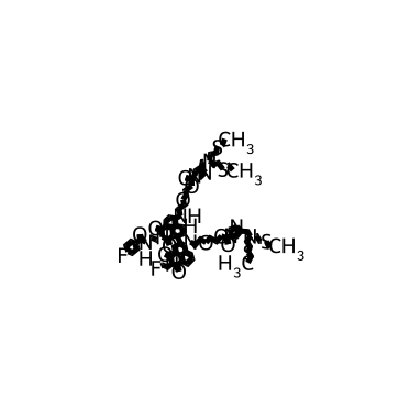 CCSCCN(CCSCC)Cc1cn(C(=O)OCCOCCNc2ccc3c4c(c(-c5cc6c7c(cccc7c5NCCOCCOC(=O)n5cnc(CN(CCSCC)CCSCC)c5)C(=O)N(CCF)C6=O)ccc24)C(=O)N(CCNC(=O)c2ccc(F)cc2)C3=O)cn1